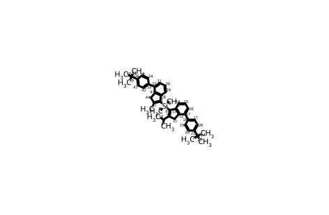 CC1=C([Si](C)(C)C2=C(C(C)C)Cc3c2cccc3-c2ccc(C(C)(C)C)cc2)c2cccc(-c3ccc(C(C)(C)C)cc3)c2C1